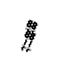 C=CC(=O)OCCCCOc1ccc2cc(C(=O)Oc3cc(-c4c(OC(=O)c5ccc6cc(OCCCCOC(=O)C=C)ccc6c5)ccc5ccccc45)c4ccccc4c3)ccc2c1